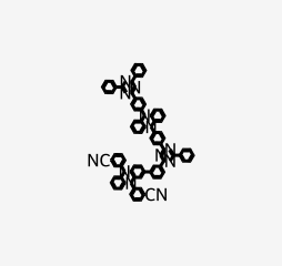 N#Cc1cccc(N2c3ccccc3N(c3cccc(C#N)c3)c3cc(-c4cccc(-c5nc(-c6ccccc6)nc(-c6ccc(N7c8ccccc8N(c8ccc(-c9nc(-c%10ccccc%10)nc(-c%10ccccc%10)n9)cc8)c8ccccc87)cc6)n5)c4)ccc32)c1